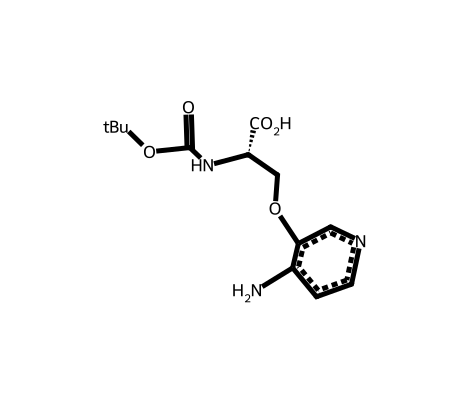 CC(C)(C)OC(=O)N[C@@H](COc1cnccc1N)C(=O)O